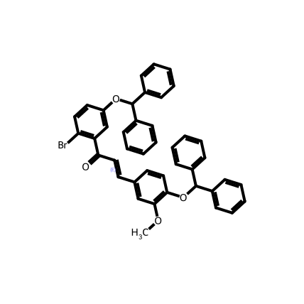 COc1cc(/C=C/C(=O)c2cc(OC(c3ccccc3)c3ccccc3)ccc2Br)ccc1OC(c1ccccc1)c1ccccc1